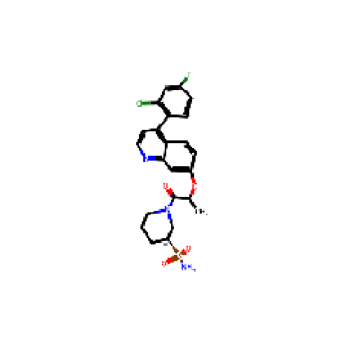 CC(Oc1ccc2c(-c3ccc(F)cc3Cl)ccnc2c1)C(=O)N1CCC[C@H](S(N)(=O)=O)C1